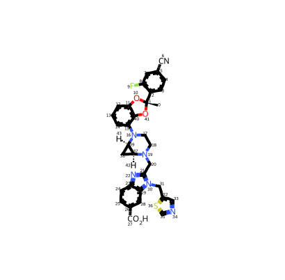 C[C@]1(c2ccc(C#N)cc2F)Oc2cccc(N3CCN(Cc4nc5ccc(C(=O)O)cc5n4Cc4cncs4)[C@H]4C[C@H]43)c2O1